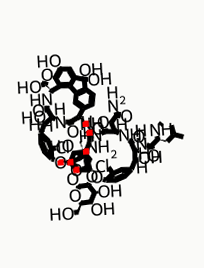 CN[C@H](CC(C)C)C(=O)N[C@H]1C(=O)N[C@@H](CC(N)=O)C(=O)N[C@H]2C(=O)N[C@H]3C(=O)N[C@H](C(=O)N[C@H](C(=O)O)c4cc(O)cc5c4-c4cc3ccc4C5(O)O)[C@H](O)c3ccc(c(Cl)c3)Oc3cc2cc(c3OC2O[C@H](CO)[C@@H](O)[C@H](O)C2OC2C[C@](C)(N)[C@H](O)[C@H](C)O2)Oc2ccc(cc2Cl)[C@H]1O